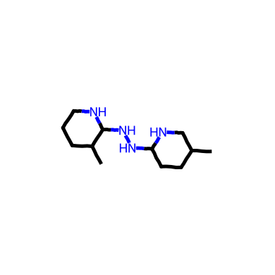 CC1CCC(NNC2NCCCC2C)NC1